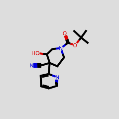 CC(C)(C)OC(=O)N1CCC(C#N)(c2ccccn2)C(O)C1